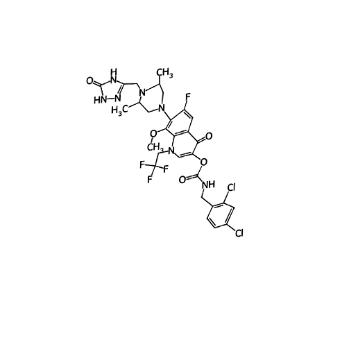 COc1c(N2CC(C)N(Cc3n[nH]c(=O)[nH]3)C(C)C2)c(F)cc2c(=O)c(OC(=O)NCc3ccc(Cl)cc3Cl)cn(CC(F)(F)F)c12